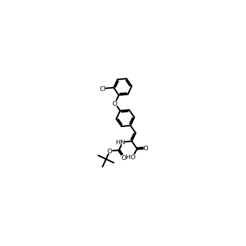 CC(C)(C)OC(=O)NC(=Cc1ccc(Oc2ccccc2Cl)cc1)C(=O)O